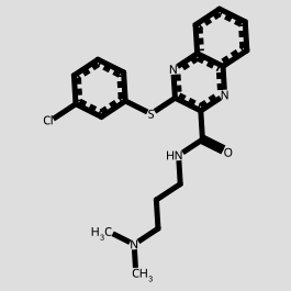 CN(C)CCCNC(=O)c1nc2ccccc2nc1Sc1cccc(Cl)c1